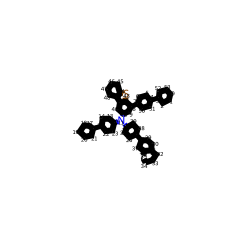 c1ccc(-c2ccc(-c3cc(N(c4ccc(-c5ccccc5)cc4)c4ccc(-c5ccc6ccccc6c5)cc4)cc4c3sc3ccccc34)cc2)cc1